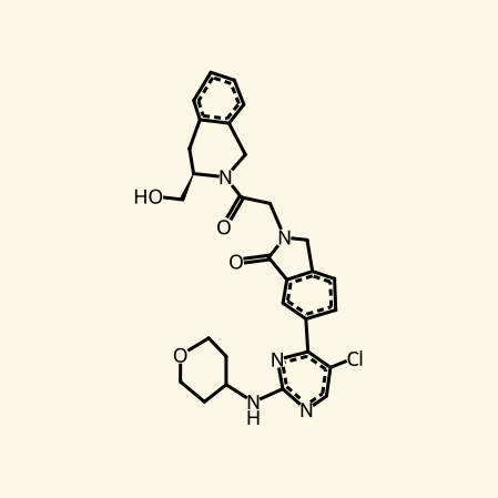 O=C1c2cc(-c3nc(NC4CCOCC4)ncc3Cl)ccc2CN1CC(=O)N1Cc2ccccc2C[C@@H]1CO